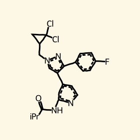 CC(C)C(=O)Nc1cc(-c2cn(CC3CC3(Cl)Cl)nc2-c2ccc(F)cc2)ccn1